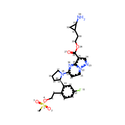 CS(=O)(=O)OCCc1ccc(F)cc1[C@H]1CCCN1c1ccn2ncc(C(=O)OCCC3CC3N)c2n1